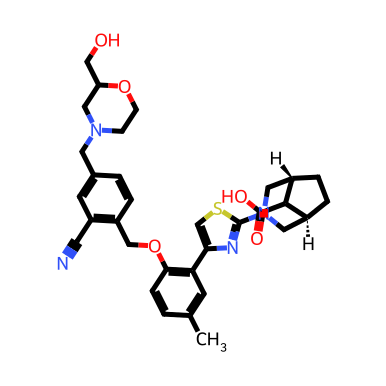 Cc1ccc(OCc2ccc(CN3CCOC(CO)C3)cc2C#N)c(-c2csc(N3C[C@@H]4CC[C@@H](C3)C4C(=O)O)n2)c1